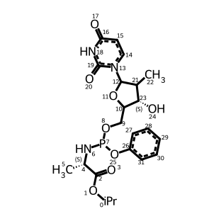 CC(C)OC(=O)[C@H](C)NP(OCC1OC(n2ccc(=O)[nH]c2=O)C(C)[C@@H]1O)Oc1ccccc1